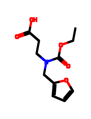 CCOC(=O)N(CCC(=O)O)Cc1ccco1